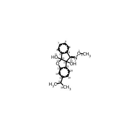 CO/N=C1\c2ccccc2C2(O)Oc3cc(C(C)C)ccc3C12O